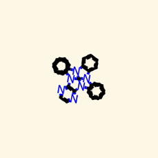 c1ccc(N2c3ccccc3N(c3ccccc3)C23N(c2ccccc2)c2nccnc2N3c2ccccc2)cc1